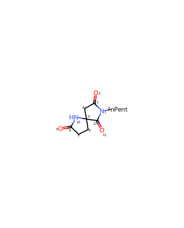 CCCCCN1C(=O)CC2(CCC(=O)N2)C1=O